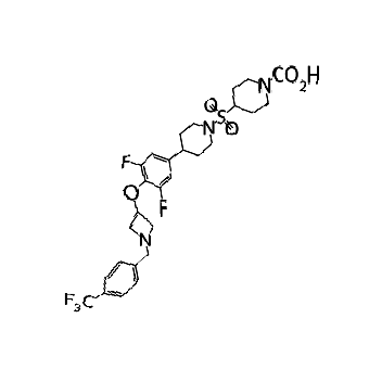 O=C(O)N1CCC(S(=O)(=O)N2CCC(c3cc(F)c(OC4CN(Cc5ccc(C(F)(F)F)cc5)C4)c(F)c3)CC2)CC1